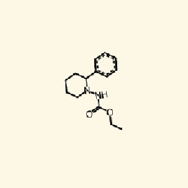 CCOC(=O)NN1CCCCC1c1ccccc1